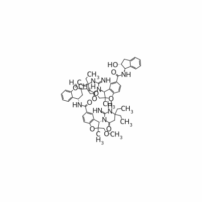 CCC1(CC)CC(=O)N([C@H]2c3cc(C(=O)N[C@H]4CC(C)(CCOCC5(C)Oc6ccc(C(=O)N[C@@H]7c8ccccc8C[C@H]7O)cc6[C@@H]5N5C(=N)NC(CC)(CC)CC5=O)Oc5ccccc54)ccc3OC2(C)COC)C(=N)N1